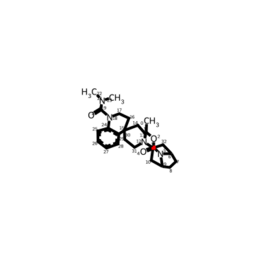 CCOC(=O)N1C2CCC1CC(N1CCC3(CCN(C(=O)N(C)C)c4ccccc43)CC1)C2